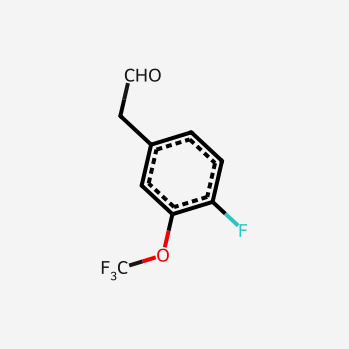 O=CCc1ccc(F)c(OC(F)(F)F)c1